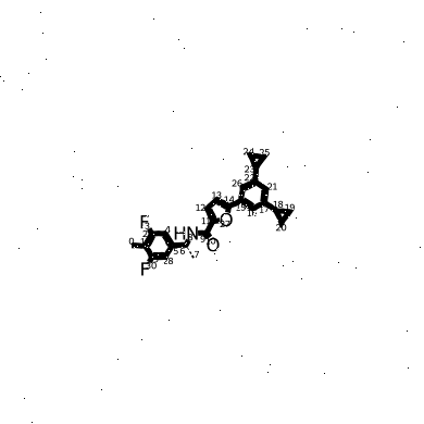 Cc1c(F)cc([C@@H](C)NC(=O)c2ccc(-c3cc(C4CC4)cc(C4CC4)c3)o2)cc1F